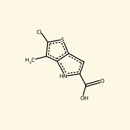 Cc1c(Cl)sc2cc(C(=O)O)[nH]c12